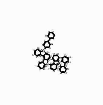 c1ccc(-c2ccc(-n3c4ccccc4c4c5c6ccccc6n(-c6cccc([Si]7(c8ccccc8)c8ccccc8-c8ccccc87)c6)c5ccc43)cc2)cc1